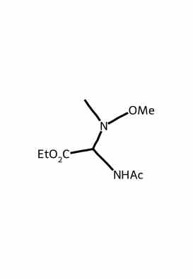 CCOC(=O)C(NC(C)=O)N(C)OC